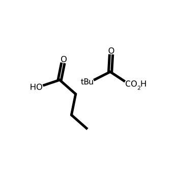 CC(C)(C)C(=O)C(=O)O.CCCC(=O)O